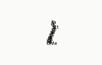 C=CC(=O)OCCN(CC)c1ccc(N=Nc2ccc(N=Nc3ccc(OC)c(F)c3F)cc2)cc1